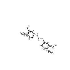 CCc1cc(CCCc2ccc(O)c(CC)c2)ccc1O